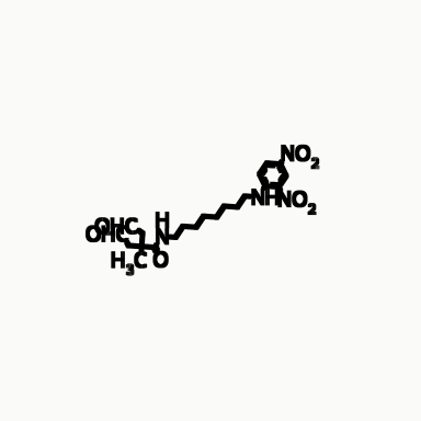 CC(CC=O)(CC=O)C(=O)NCCCCCCCCNc1ccc([N+](=O)[O-])cc1[N+](=O)[O-]